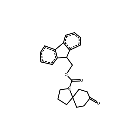 O=C1CCC2(CCCN2C(=O)OCC2c3ccccc3-c3ccccc32)CC1